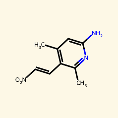 Cc1cc(N)nc(C)c1C=C[N+](=O)[O-]